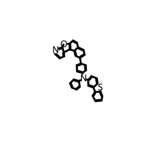 c1ccc(N(c2ccc(-c3ccc4ccc5oc6ncccc6c5c4c3)cc2)c2ccc3sc4ccccc4c3c2)cc1